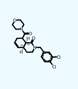 O=C(C1CC=C[C@@H]2CCN(Cc3ccc(Cl)c(Cl)c3)C(=O)[C@H]12)N1CCOCC1